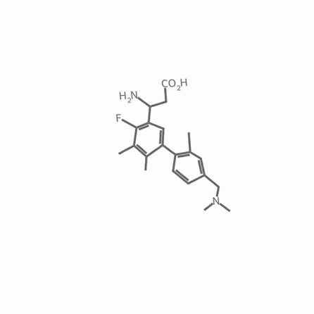 Cc1cc(CN(C)C)ccc1-c1cc(C(N)CC(=O)O)c(F)c(C)c1C